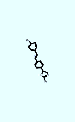 CC(C)C1=NCC(c2ccc(/C=C/c3ccc(C(C)C)cc3)cc2)N1